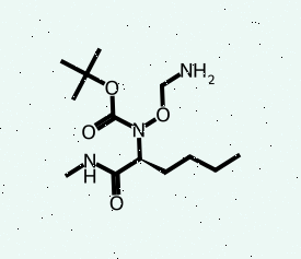 CCCC[C@@H](C(=O)NC)N(OCN)C(=O)OC(C)(C)C